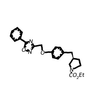 CCOC(=O)N1CC[C@H](Cc2ccc(OCc3noc(-c4ccccc4)n3)cc2)C1